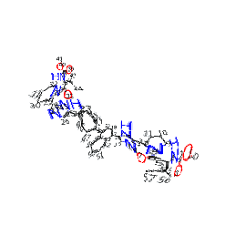 COC(=O)N[C@@H](C(=O)N1CCCC1c1ncc(-c2ccc(-c3ccc(-c4cnc([C@@H]5CCCN5C(=O)[C@H](NC(=O)OC)C(C)C)[nH]4)cc3)c3ccccc23)[nH]1)C(C)C